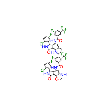 O=C(Nc1cc2c(c3c1C(c1cc(F)ccc1Cl)NC3=O)NC(c1c(F)cc(C(=O)Nc3cc4c(c5c3C(c3cc(F)ccc3Cl)NC5=O)OCCN4)cc1C(F)(F)F)CC2)c1cc(F)cc(C(F)(F)F)c1